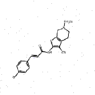 CCOC(=O)N1CCc2c(sc(NC(=O)/C=C/c3ccc(Cl)cc3)c2C#N)C1